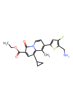 CCOC(=O)c1cc(C2CC2)c2c(C)c(-c3cc(F)c(CN)s3)ccn2c1=O